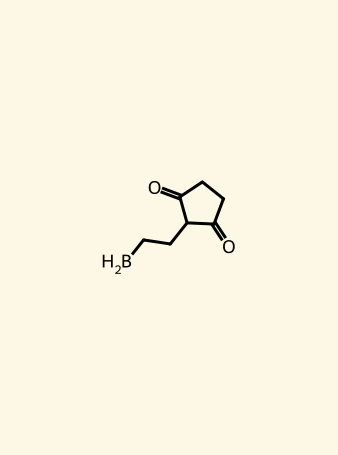 BCCC1C(=O)CCC1=O